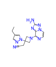 CCc1cnn(C2(CC#N)CN(c3nccn4nc(N)nc34)C2)c1